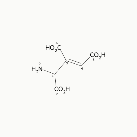 NC(C(=O)O)C(=CC(=O)O)C(=O)O